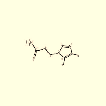 Cc1n[c]n(CCC(N)=O)c1C